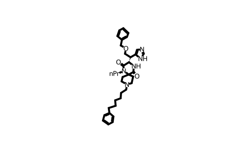 CCCN1C(=O)[C@H](C(COCc2ccccc2)c2cnc[nH]2)NC(=O)C12CCN(CCCCCCc1ccccc1)CC2